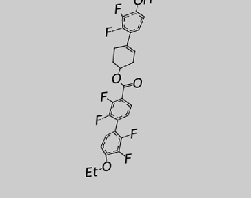 CCOc1ccc(-c2ccc(C(=O)OC3CC=C(c4ccc(O)c(F)c4F)CC3)c(F)c2F)c(F)c1F